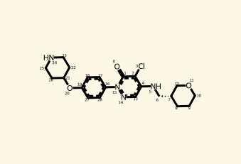 O=c1c(Cl)c(NC[C@H]2CCCOC2)cnn1-c1ccc(OC2CCNCC2)cc1